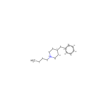 [CH2]CCCN1CCC(Cc2ccccc2)CC1